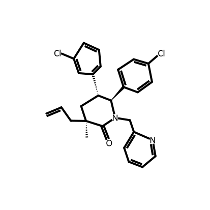 C=CC[C@@]1(C)C[C@H](c2cccc(Cl)c2)[C@@H](c2ccc(Cl)cc2)N(Cc2ccccn2)C1=O